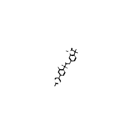 Cc1ncc(-c2ccc(C(C)(C)C(=O)Cc3ccc4c(c3)N(C)C(=O)C4(C)C)c(C)c2)cn1